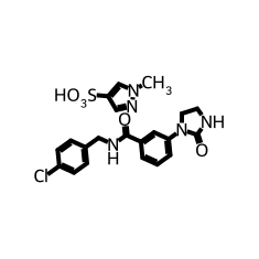 Cn1cc(S(=O)(=O)O)cn1.O=C(NCc1ccc(Cl)cc1)c1cccc(N2CCNC2=O)c1